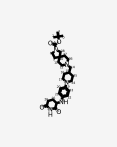 CC(C)(C)OC(=O)N1CCC2(CCN(CC3CCN(c4ccc(NC5CCC(=O)NC5=O)cc4)CC3)CC2)C1